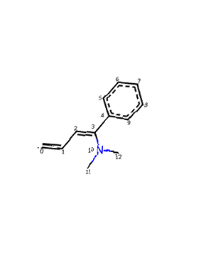 [CH]=CC=C(c1ccccc1)N(C)C